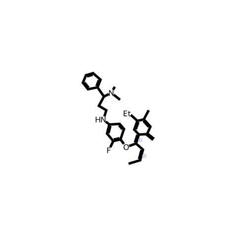 C=c1cc(C)c(CC)c/c1=C(/C=C\C)Oc1ccc(NCCC(c2ccccc2)N(C)C)cc1F